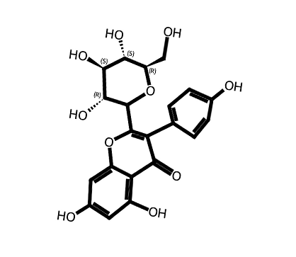 O=c1c(-c2ccc(O)cc2)c(C2O[C@H](CO)[C@@H](O)[C@H](O)[C@H]2O)oc2cc(O)cc(O)c12